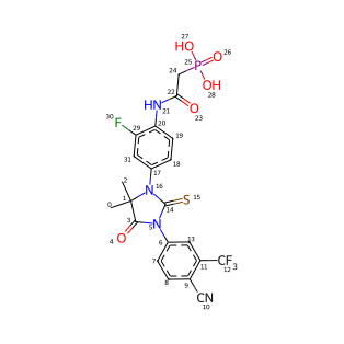 CC1(C)C(=O)N(c2ccc(C#N)c(C(F)(F)F)c2)C(=S)N1c1ccc(NC(=O)CP(=O)(O)O)c(F)c1